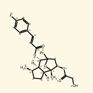 CC(C)C12C[C@@H](OC(=O)CO)[C@@](C)(O1)[C@@H]1CC[C@@H](C)[C@H]1[C@@H]2OC(=O)/C=C/c1ccc(F)cc1